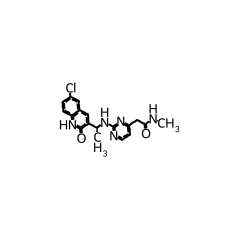 CNC(=O)Cc1ccnc(N[C@@H](C)c2cc3cc(Cl)ccc3[nH]c2=O)n1